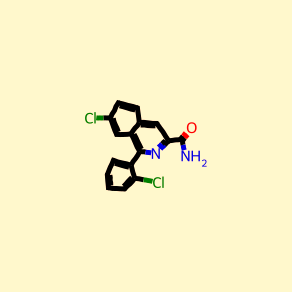 NC(=O)c1cc2ccc(Cl)cc2c(-c2ccccc2Cl)n1